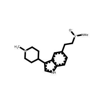 CN[S+]([O-])CCc1ccc2[nH]cc(C3CCN(C)CC3)c2c1